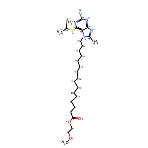 COCCOC(=O)CCCCCCCCCCCCCCCn1c(C)nc2nc(Cl)nc(SC(C)C)c21